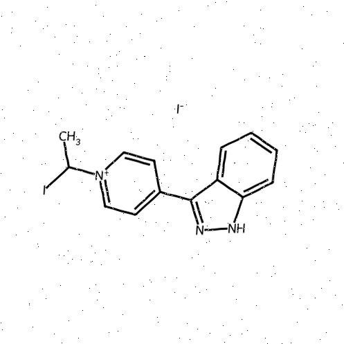 CC(I)[n+]1ccc(-c2n[nH]c3ccccc23)cc1.[I-]